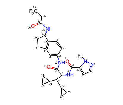 CC(C)n1nccc1C(=O)N[C@H](C(=O)Nc1ccc2c(c1)CC[C@H]2NC(=O)CC(F)(F)F)C(C1CC1)C1CC1